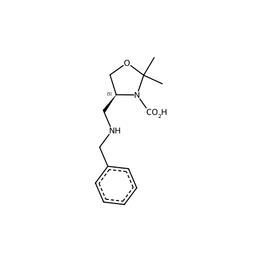 CC1(C)OC[C@H](CNCc2ccccc2)N1C(=O)O